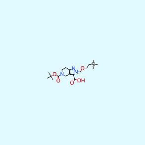 CC(C)(C)OC(=O)N1CCc2nn(COCC[Si](C)(C)C)c(C(=O)O)c2C1